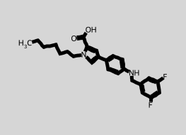 CCCCCCCn1cc(-c2ccc(NCc3cc(F)cc(F)c3)cc2)cc1C(=O)O